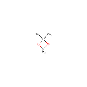 CCC[Si]1(C)O[SiH2]O1